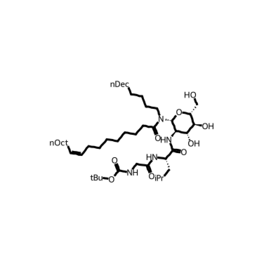 CCCCCCCC/C=C\CCCCCCCC(=O)N(CCCCCCCCCCCCCC)[C@@H]1O[C@H](CO)[C@@H](O)[C@H](O)[C@H]1NC(=O)[C@H](CC(C)C)NC(=O)CNC(=O)OC(C)(C)C